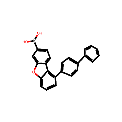 OB(O)c1ccc2c(c1)oc1cccc(-c3ccc(-c4ccccc4)cc3)c12